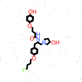 O=C(CCCOc1ccc(O)cc1)NC(Cc1ccc(OCCCCF)cc1)CN1CC[C@H](O)C1